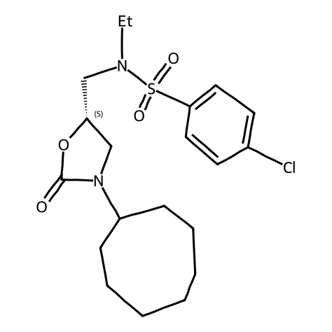 CCN(C[C@@H]1CN(C2CCCCCCC2)C(=O)O1)S(=O)(=O)c1ccc(Cl)cc1